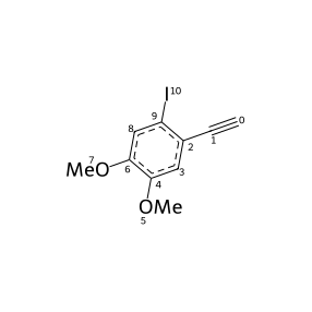 C#Cc1cc(OC)c(OC)cc1I